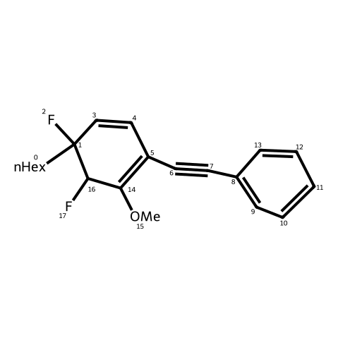 CCCCCCC1(F)C=CC(C#Cc2ccccc2)=C(OC)C1F